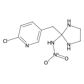 O=[N+]([O-])NC1(Cc2ccc(Cl)nc2)NCCN1